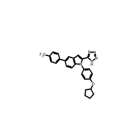 FC(F)(F)c1ccc(-c2ccc3c(c2)cc(-c2nnn[nH]2)n3-c2ccc(OC3CCCC3)cc2)cc1